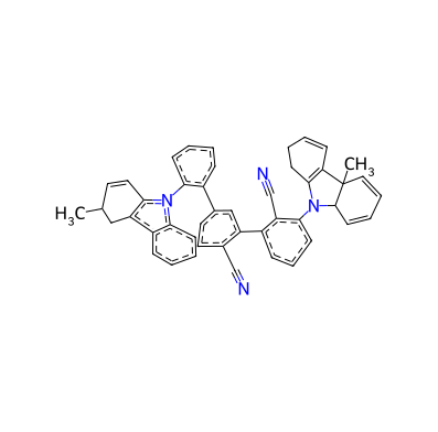 CC1C=Cc2c(c3ccccc3n2-c2ccccc2-c2ccc(C#N)c(-c3cccc(N4C5=C(C=CCC5)C5(C)C=CC=CC45)c3C#N)c2)C1